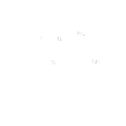 Cc1nc([C@@](C)(N)CC2CC2)no1.Cl